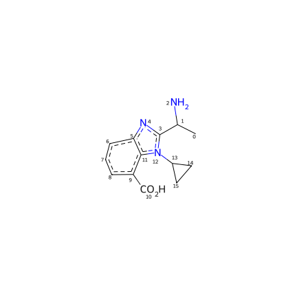 CC(N)c1nc2cccc(C(=O)O)c2n1C1CC1